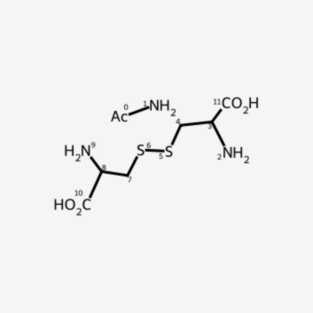 CC(N)=O.NC(CSSCC(N)C(=O)O)C(=O)O